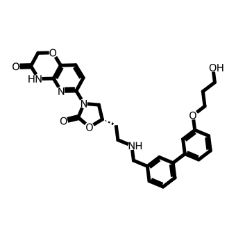 O=C1COc2ccc(N3C[C@H](CCNCc4cccc(-c5cccc(OCCCO)c5)c4)OC3=O)nc2N1